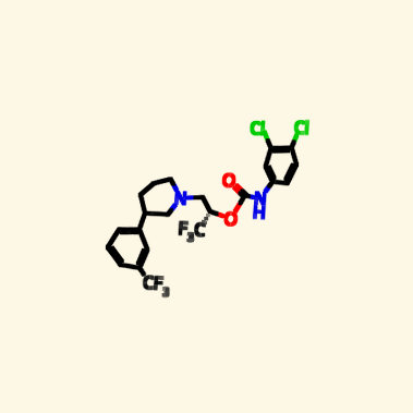 O=C(Nc1ccc(Cl)c(Cl)c1)O[C@@H](CN1CCCC(c2cccc(C(F)(F)F)c2)C1)C(F)(F)F